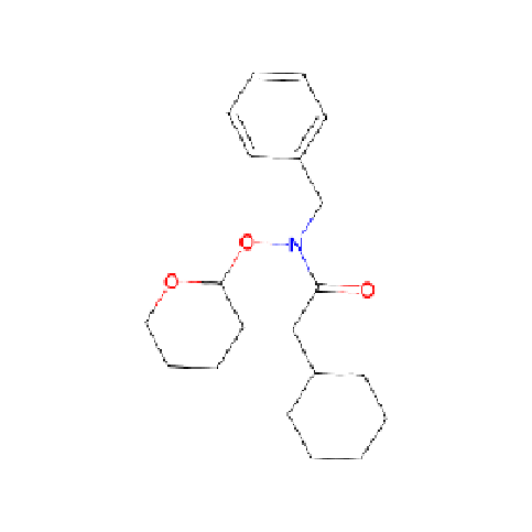 O=C(CC1CCCCC1)N(Cc1ccccc1)OC1CCCCO1